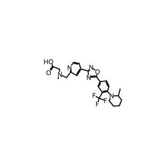 CC1CCCCN1c1ccc(-c2nc(-c3ccnc(CN(C)CC(=O)O)c3)no2)cc1C(F)(F)F